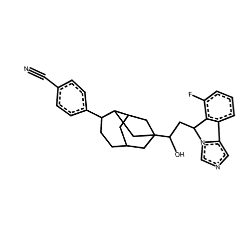 N#Cc1ccc(C2CCC3CC4CC(C(O)CC5c6c(F)cccc6-c6cncn65)(C3)CC42)cc1